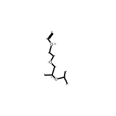 [CH2]C(C)OC(C)COCCOC=C